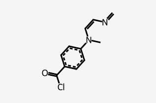 C=N/C=C\N(C)c1ccc(C(=O)Cl)cc1